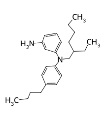 CCCCc1ccc(N(CC(CC)CCCC)c2cccc(N)c2)cc1